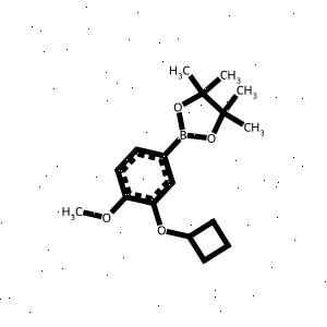 COc1ccc(B2OC(C)(C)C(C)(C)O2)cc1OC1CCC1